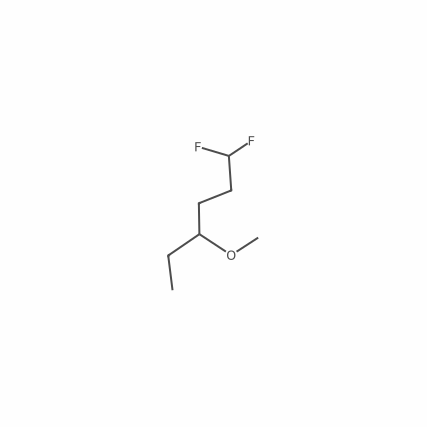 CCC(CCC(F)F)OC